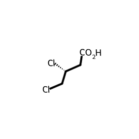 O=C(O)C[C@@H](Cl)CCl